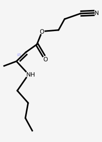 CCCCN/C(C)=C\C(=O)OCCC#N